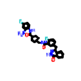 Nc1cc(F)ccc1NC(=O)C1CCC(CNC(=O)c2cc(Cc3n[nH]c(=O)c4ccccc34)ccc2F)CC1